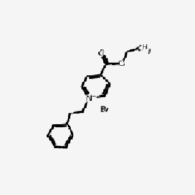 CCOC(=O)c1cc[n+](CCc2ccccc2)cc1.[Br-]